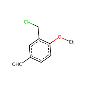 CCOc1ccc(C=O)cc1CCl